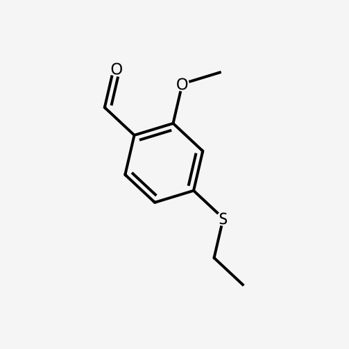 CCSc1ccc(C=O)c(OC)c1